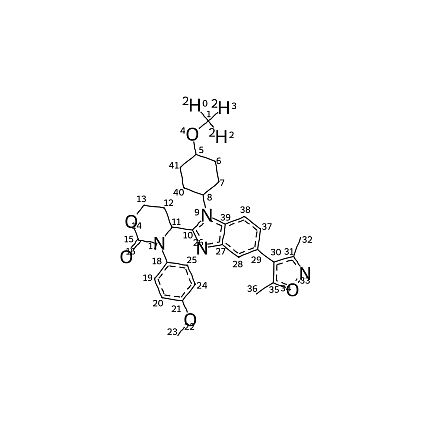 [2H]C([2H])([2H])OC1CCC(n2c(C3CCOC(=O)N3c3ccc(OC)cc3)nc3cc(-c4c(C)noc4C)ccc32)CC1